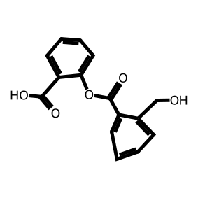 O=C(Oc1ccccc1C(=O)O)c1ccccc1CO